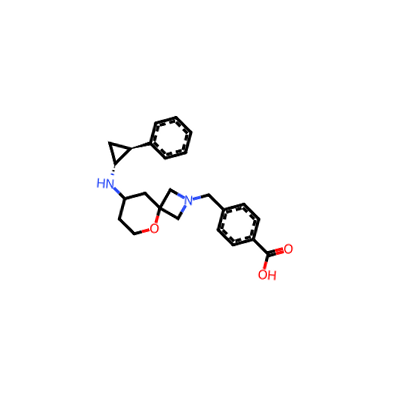 O=C(O)c1ccc(CN2CC3(CC(N[C@@H]4C[C@H]4c4ccccc4)CCO3)C2)cc1